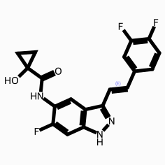 O=C(Nc1cc2c(/C=C/c3ccc(F)c(F)c3)n[nH]c2cc1F)C1(O)CC1